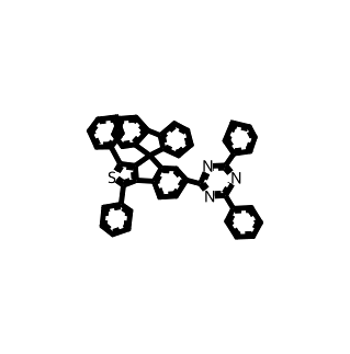 c1ccc(-c2nc(-c3ccccc3)nc(-c3ccc4c(c3)C3(c5ccccc5-c5ccccc53)c3c(-c5ccccc5)sc(-c5ccccc5)c3-4)n2)cc1